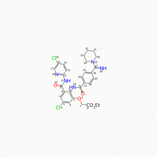 CCOC(=O)COc1cc(Cl)cc(C(=O)Nc2ccc(Cl)cn2)c1NC(=O)c1ccc(C(=N)N2CCCCC2)cc1